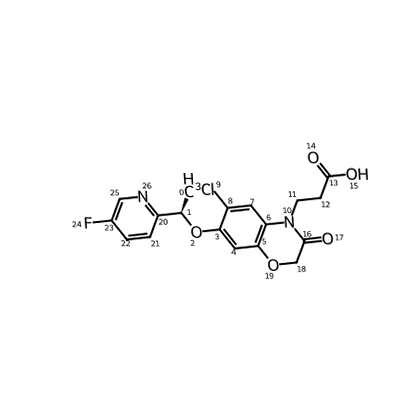 C[C@@H](Oc1cc2c(cc1Cl)N(CCC(=O)O)C(=O)CO2)c1ccc(F)cn1